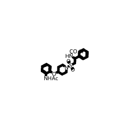 CC(=O)Nc1ccccc1OC1CCN(S(=O)(=O)CC(NC(=O)O)c2ccccc2)CC1